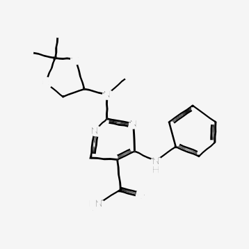 CN(c1ncc(C(N)=O)c(Nc2ccccc2)n1)C1COC(C)(C)O1